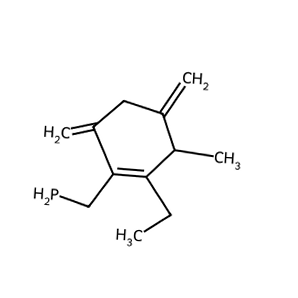 C=C1CC(=C)C(C)C(CC)=C1CP